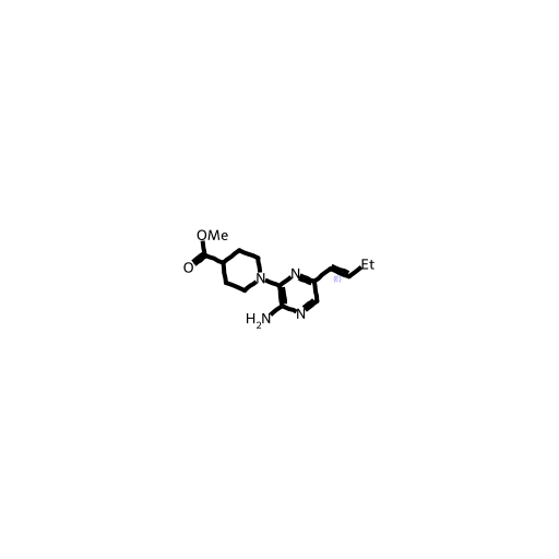 CC/C=C/c1cnc(N)c(N2CCC(C(=O)OC)CC2)n1